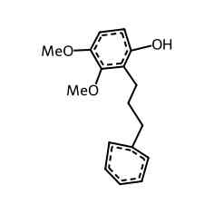 COc1ccc(O)c(CCCc2ccccc2)c1OC